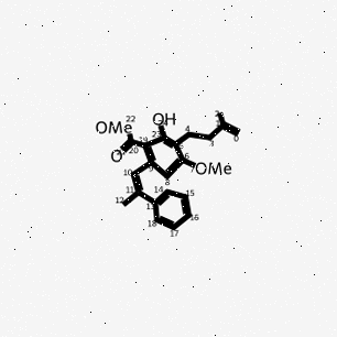 C=C(C)CCc1c(OC)cc(C=C(C)c2ccccc2)c(C(=O)OC)c1O